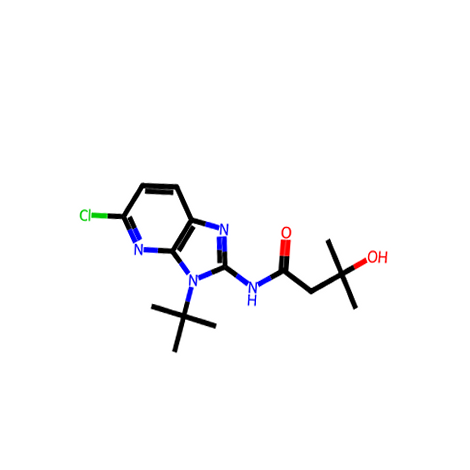 CC(C)(O)CC(=O)Nc1nc2ccc(Cl)nc2n1C(C)(C)C